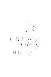 C[C@H](N)C(=O)N[C@@H](CCC(CN)C(=O)OCC1c2ccccc2-c2ccccc21)C(=O)N(C(=O)OCC1c2ccccc2-c2ccccc21)[C@@](CCCCN)(C(=O)O)c1ccc2ccccc2c1